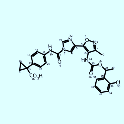 Cc1noc(-c2cn(C(=O)Nc3ccc(C4(C(=O)O)CC4)cc3)cn2)c1NC(=O)OC(C)c1ccccc1Cl